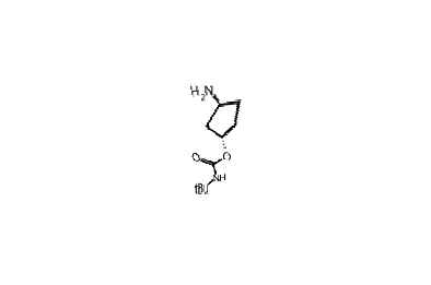 CC(C)(C)NC(=O)O[C@H]1CC[C@H](N)C1